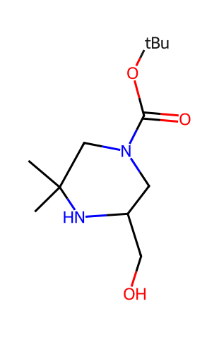 CC1(C)CN(C(=O)OC(C)(C)C)CC(CO)N1